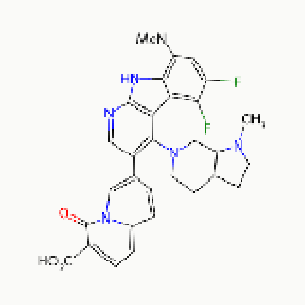 CNc1cc(F)c(F)c2c1[nH]c1ncc(-c3ccc4ccc(C(=O)O)c(=O)n4c3)c(N3CCC4CCN(C)C4C3)c12